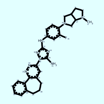 CN1CCC2CN(c3ccc(Nc4nc(N)n(-c5cc6c(nn5)-c5ccccc5CCC6)n4)cc3F)CC21